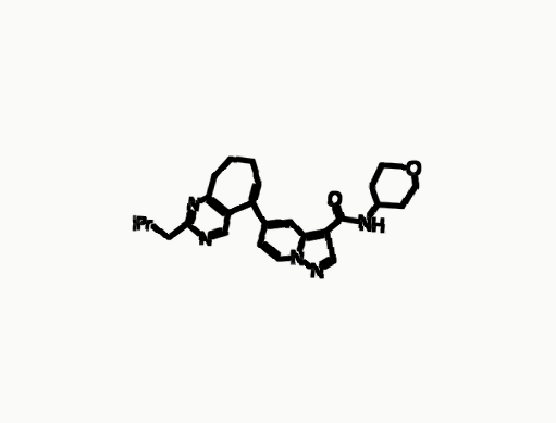 CC(C)Cc1ncc2c(n1)CCCC=C2c1ccn2ncc(C(=O)NC3CCOCC3)c2c1